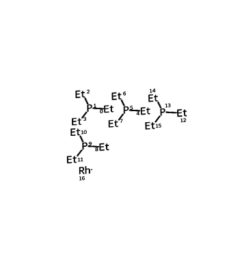 CCP(CC)CC.CCP(CC)CC.CCP(CC)CC.CCP(CC)CC.[Rh]